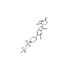 O=C1CCC(N2Cc3cc(C4CCN(S(=O)(=O)CCC(F)(F)F)CC4)c(F)cc3C2=O)C(=O)N1